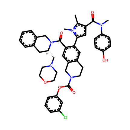 Cc1c(C(=O)N(C)c2ccc(O)cc2)cc(-c2cc3c(cc2C(=O)N2Cc4ccccc4C[C@H]2CN2CCOCC2)CN(C(=O)Oc2cccc(Cl)c2)CC3)n1C